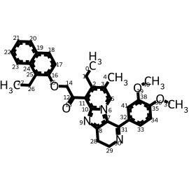 CCc1c(C)cn2c3c(nc2c1C(=O)COc1ccc2ccccc2c1CC)CCN=C3c1ccc(OC)c(OC)c1